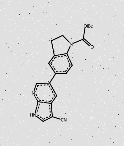 CC(C)COC(=O)N1CCc2cc(-c3cnc4[nH]cc(C#N)c4c3)ccc21